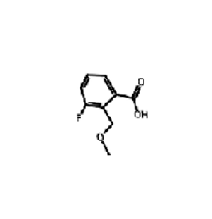 COCc1c(F)cccc1C(=O)O